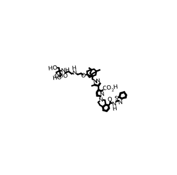 Cc1c(-c2ccc(N3CCc4cccc(C(=O)Nc5nc6ccccc6s5)c4C3)nc2C(=O)O)cnn1CC12CC3(C)CC(C)(C1)CC(OCCNCCC(=O)NC(CO)(CO)CO)(C3)C2